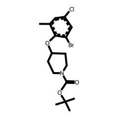 Cc1cc(Cl)cc(Br)c1OC1CCN(C(=O)OC(C)(C)C)CC1